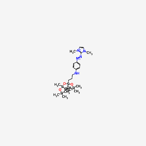 Cn1cc[n+](C)c1/N=N/c1ccc(NCCC[Si](C)(O[Si](C)(C)C)O[Si](C)(C)O[Si](C)(C)C)cc1